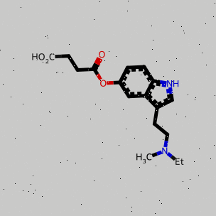 CCN(C)CCc1c[nH]c2ccc(OC(=O)CCC(=O)O)cc12